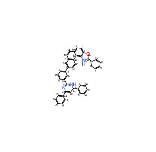 C1=CCC(C2Nc3c(ccc4ccc5cc(-c6cccc(C7=NC(c8ccccc8)=CC(c8ccccc8)N7)c6)ccc5c34)O2)C=C1